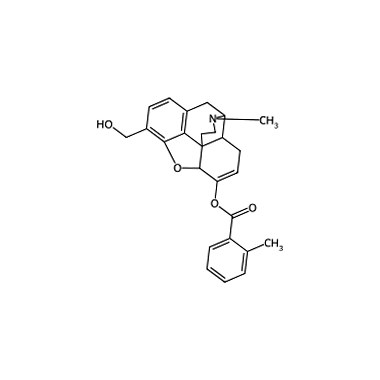 Cc1ccccc1C(=O)OC1=CCC2C3Cc4ccc(CO)c5c4C2(CCN3C)C1O5